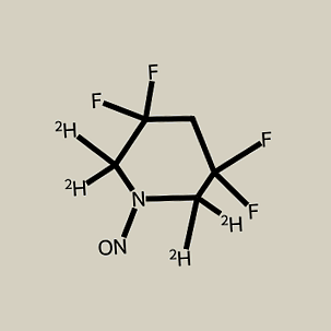 [2H]C1([2H])N(N=O)C([2H])([2H])C(F)(F)CC1(F)F